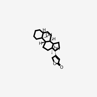 C[C@]12CC[C@H]3[C@@H](CC[C@@H]4CCCC[C@@]43CO)[C@@]1(O)CC[C@@H]2C1=CC(=O)OC1